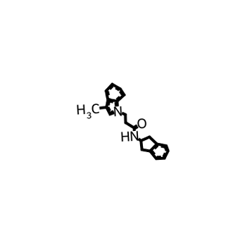 Cc1cn(CCC(=O)NC2Cc3ccccc3C2)c2ccccc12